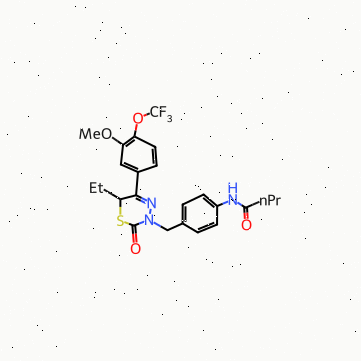 CCCC(=O)Nc1ccc(CN2N=C(c3ccc(OC(F)(F)F)c(OC)c3)C(CC)SC2=O)cc1